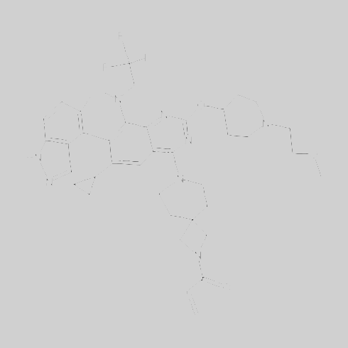 C=CC(=O)N1CC2(CCN(c3nc(OC4CCN(CCOC)CC4)nc4c(N(C)CC(F)(F)F)c(-c5c(C)ccc6[nH]ncc56)c(C5CC5)cc34)CC2)C1